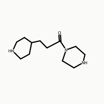 O=C(CCC1CCNCC1)N1CCNCC1